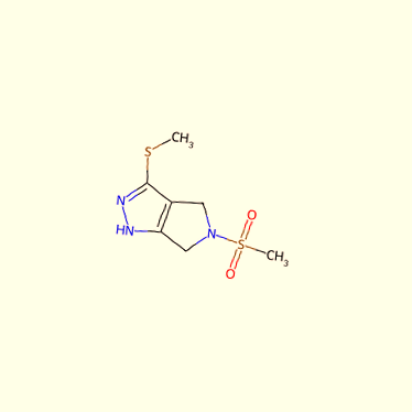 CSc1n[nH]c2c1CN(S(C)(=O)=O)C2